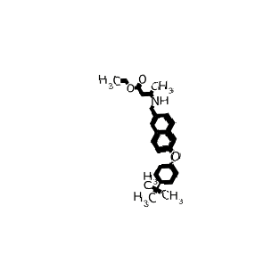 CCOC(=O)CC(C)NCc1ccc2cc(O[C@H]3CC[C@H](C(C)(C)C)CC3)ccc2c1